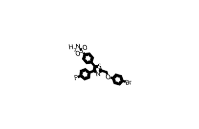 NS(=O)(=O)c1ccc(-c2sc(COc3ccc(Br)cc3)nc2-c2ccc(F)cc2)cc1